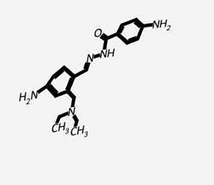 CCN(CC)Cc1cc(N)ccc1/C=N/NC(=O)c1ccc(N)cc1